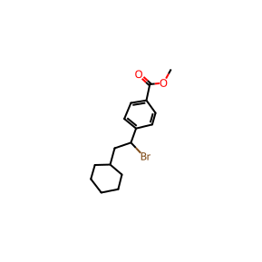 COC(=O)c1ccc(C(Br)CC2CCCCC2)cc1